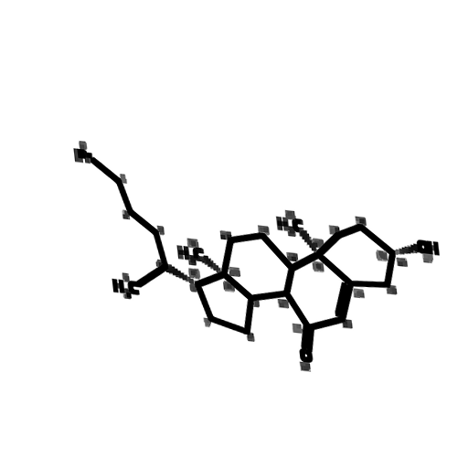 CC(C)CCCC(C)[C@H]1CCC2C3C(=O)C=C4C[C@@H](O)CC[C@]4(C)C3CC[C@@]21C